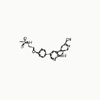 CS(=O)(=O)NCCOc1ccc(-c2cnc3[nH]c4cnc(C#N)cc4c3c2)cc1